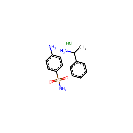 CC(N)c1ccccc1.Cl.Nc1ccc(S(N)(=O)=O)cc1